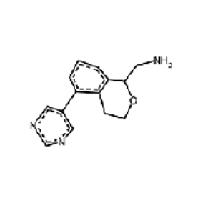 NCC1OCCc2c(-c3cncnc3)cccc21